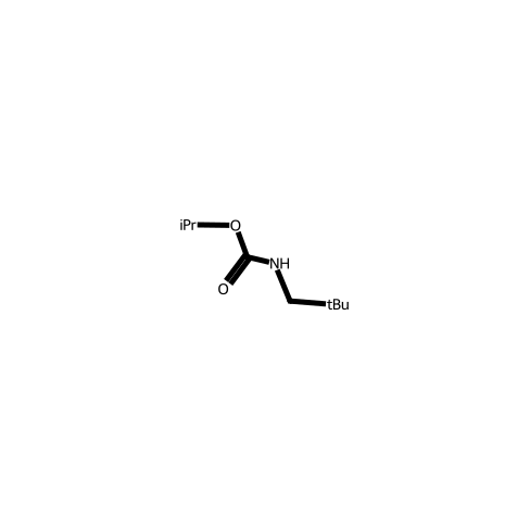 CC(C)OC(=O)NCC(C)(C)C